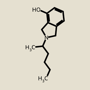 CCCCC(C)N1Cc2cccc(O)c2C1